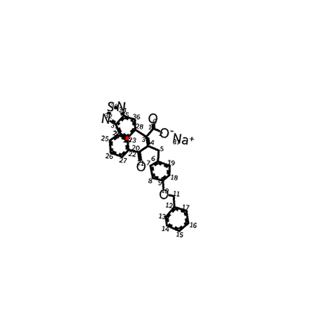 O=C([O-])/C(=C(\Cc1ccc(OCc2ccccc2)cc1)C(=O)c1ccccc1)c1ccc2nsnc2c1.[Na+]